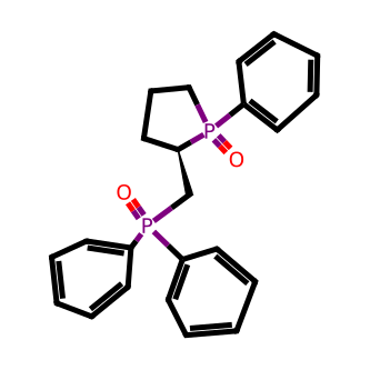 O=P(C[C@H]1CCCP1(=O)c1ccccc1)(c1ccccc1)c1ccccc1